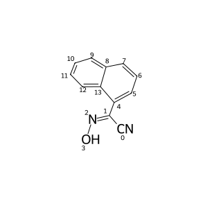 N#CC(=NO)c1cccc2ccccc12